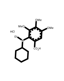 CCN(c1c(C(=O)O)cc(OC)c(OC)c1OC)C1CCCCC1.Cl